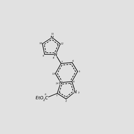 CCOC(=O)c1cnc2ccc(-n3ccnc3)cn12